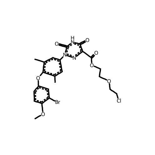 COc1ccc(Oc2c(C)cc(-n3nc(C(=O)OCCOCCCl)c(=O)[nH]c3=O)cc2C)cc1Br